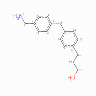 NCc1ccc(Cc2ccc(CCCO)cc2)cc1